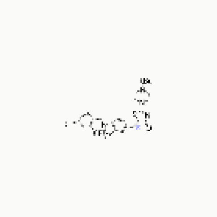 CC(C)(C)N1CCN(C2=NC(=O)/C(=C/c3ccc4c(cnn4Cc4ccc(Cl)cc4C(F)(F)F)c3)S2)CC1